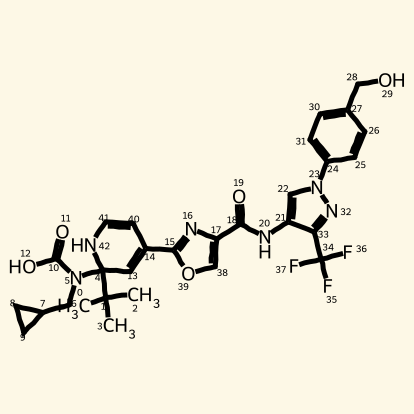 CC(C)(C)C1(N(CC2CC2)C(=O)O)C=C(c2nc(C(=O)Nc3cn(-c4ccc(CO)cc4)nc3C(F)(F)F)co2)C=CN1